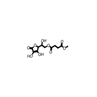 COC(=O)CCC(=O)OCC(O)C1OC(=O)C(O)=C1O